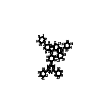 c1ccc(-c2ccc3c(c2)c2ccc4c(c5ccccc5n4-c4ccccc4)c2n3-c2ccc(-c3nc(-c4ccccc4)nc(-c4ccccc4)n3)cc2)cc1